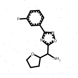 NC(c1nc(-c2cccc(F)c2)no1)C1CCCO1